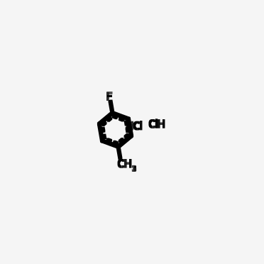 Cc1ccc(F)cc1.Cl.Cl